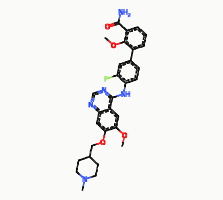 COc1cc2c(Nc3ccc(-c4cccc(C(N)=O)c4OC)cc3F)ncnc2cc1OCC1CCN(C)CC1